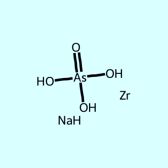 O=[As](O)(O)O.[NaH].[Zr]